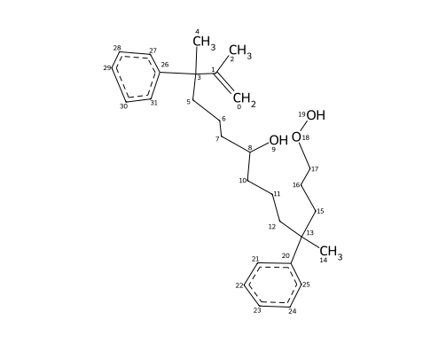 C=C(C)C(C)(CCCC(O)CCCC(C)(CCCOO)c1ccccc1)c1ccccc1